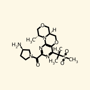 C[C@@H]1COC[C@H]2COc3c(nc(C(=O)N4CC[C@@H](N)C4)nc3C(C)(C)S(C)(=O)=O)N21